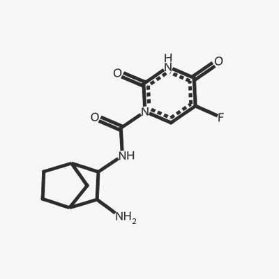 NC1C2CCC(C2)C1NC(=O)n1cc(F)c(=O)[nH]c1=O